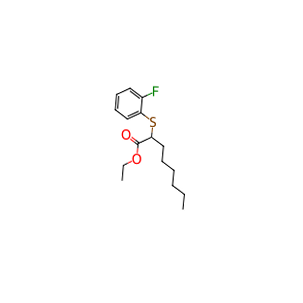 CCCCCCC(Sc1ccccc1F)C(=O)OCC